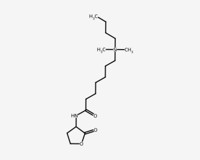 CCCC[Si](C)(C)CCCCCCC(=O)NC1CCOC1=O